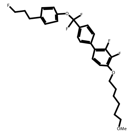 COCCCCCCOc1ccc(-c2ccc(C(F)(F)Oc3ccc(CCCF)cc3)cc2)c(F)c1F